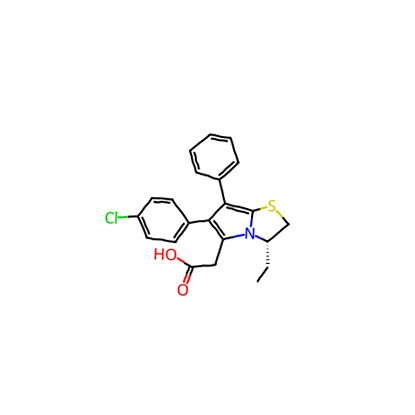 CC[C@H]1CSc2c(-c3ccccc3)c(-c3ccc(Cl)cc3)c(CC(=O)O)n21